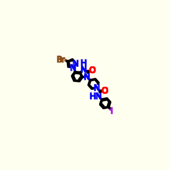 O=C(Nc1ccc(I)cc1)N1CCC(n2c(=O)[nH]c3c(-n4cc(Br)cn4)cccc32)CC1